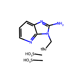 CC(C)(C)Cn1c(N)nc2cccnc21.CS(=O)(=O)O.CS(=O)(=O)O